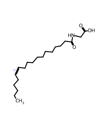 CCCCC/C=C\CCCCCCCCCCC(=O)NCC(=O)O